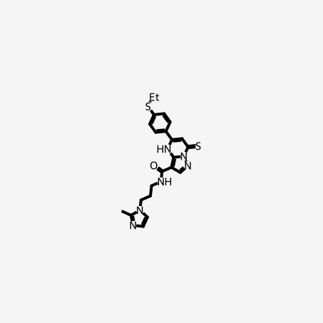 CCSc1ccc(-c2cc(=S)n3ncc(C(=O)NCCCn4ccnc4C)c3[nH]2)cc1